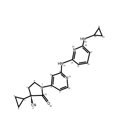 N#C[C@@]1(C2CC2)CCN(c2ccnc(Nc3cccc(NC4CC4)n3)c2)C1=O